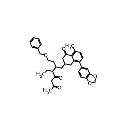 CCC(C(=O)CC(C)=O)C(CCOCc1ccccc1)CC1CC(=O)c2c(C)ccc(-c3ccc4c(c3)OCO4)c2C1